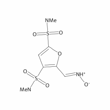 CNS(=O)(=O)c1cc(S(=O)(=O)NC)c(C=[NH+][O-])o1